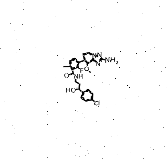 COc1c(-c2ccc(C)c(C(=O)NCC[C@H](O)c3ccc(Cl)cc3)c2F)ccn2nc(N)nc12